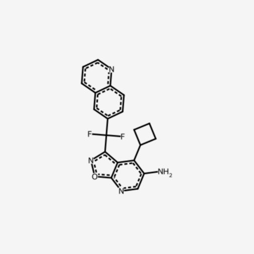 Nc1cnc2onc(C(F)(F)c3ccc4ncccc4c3)c2c1C1CCC1